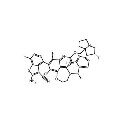 C[C@H](c1cccnc1N)N1CCOc2c(Cl)c(-c3ncc(F)c4sc(N)c(C#N)c34)c(F)c3nc(OC[C@@]45CCCN4C[C@H](F)C5)nc1c23